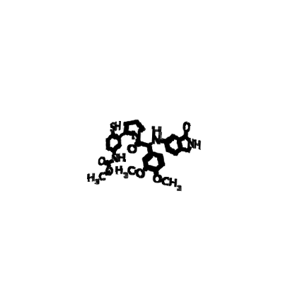 COC(=O)Nc1ccc(S)c([C@H]2CCCN2C(=O)[C@H](Nc2ccc3c(c2)C(=O)NC3)c2ccc(OC)c(OC)c2)c1